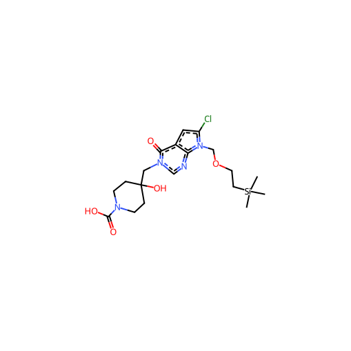 C[Si](C)(C)CCOCn1c(Cl)cc2c(=O)n(CC3(O)CCN(C(=O)O)CC3)cnc21